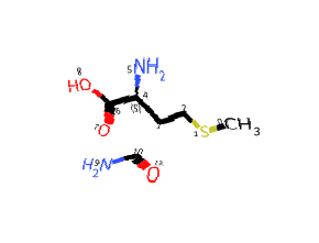 CSCC[C@H](N)C(=O)O.NC=O